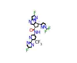 C[C@]1(c2ccn(C(F)F)n2)C[C@@H](C(=O)Nc2cnc(-c3ncc(F)cn3)c(C(F)(F)F)c2)c2cnc3cc(F)nn3c21